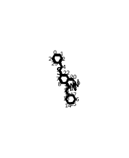 c1ccc(CSc2ccc3c(CC4CCCCC4)nncc3c2)cc1